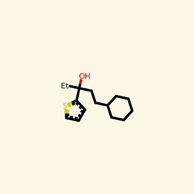 CCC(O)(CCC1CCCCC1)c1cccs1